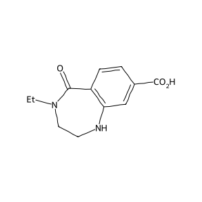 CCN1CCNc2cc(C(=O)O)ccc2C1=O